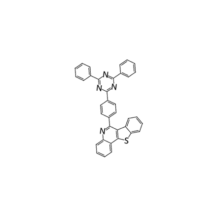 c1ccc(-c2nc(-c3ccccc3)nc(-c3ccc(-c4nc5ccccc5c5sc6ccccc6c45)cc3)n2)cc1